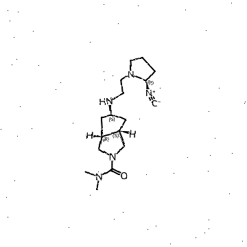 [C-]#[N+][C@@H]1CCCN1CCN[C@H]1C[C@@H]2CN(C(=O)N(C)C)C[C@@H]2C1